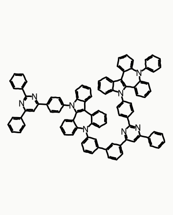 c1ccc(-c2cc(-c3ccc(-n4c5c(c6ccccc64)-c4ccccc4N(c4cccc(-c6cccc(-c7cc(-c8ccccc8)nc(-c8ccc(-n9c%10c(c%11ccccc%119)-c9ccccc9N(c9ccccc9)c9ccccc9-%10)cc8)n7)c6)c4)c4ccccc4-5)cc3)nc(-c3ccccc3)n2)cc1